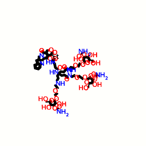 CC[C@@]1(OC(=O)NCCC(=O)NC(CCCNCCOCCO[C@H]2O[C@H](CO)[C@@H](O)[C@H](OC(N)=O)[C@@H]2O)(CCC(=O)NCCOCCO[C@H]2O[C@H](CO)[C@@H](O)[C@H](OC(N)=O)[C@@H]2O)CCC(=O)NCCOCCO[C@H]2O[C@H](CO)[C@@H](O)[C@H](OC(N)=O)[C@@H]2O)C(=O)OCc2c1cc1n(c2=O)Cc2cc3ccccc3nc2-1